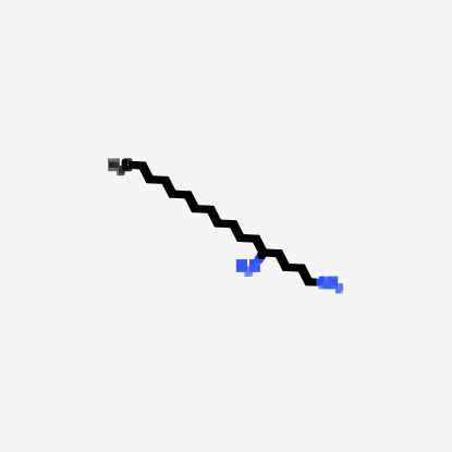 CCCCCCCCCCCCC(N)CCCCN